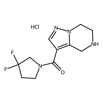 Cl.O=C(c1cnn2c1CNCC2)N1CCC(F)(F)C1